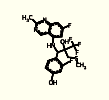 CSCC(O)(C(Nc1cc(F)cc2nc(C)ncc12)c1ccc(O)cc1F)C(F)(F)F